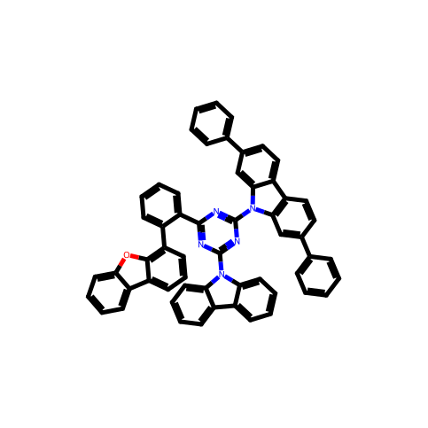 c1ccc(-c2ccc3c4ccc(-c5ccccc5)cc4n(-c4nc(-c5ccccc5-c5cccc6c5oc5ccccc56)nc(-n5c6ccccc6c6ccccc65)n4)c3c2)cc1